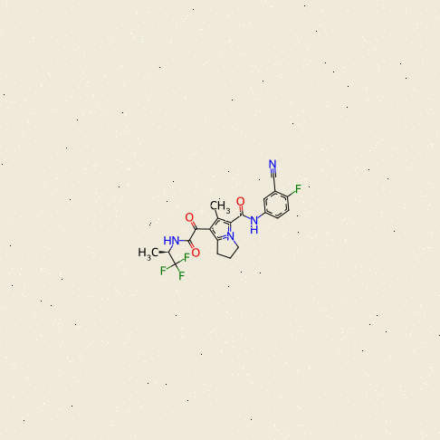 Cc1c(C(=O)C(=O)N[C@H](C)C(F)(F)F)c2n(c1C(=O)Nc1ccc(F)c(C#N)c1)CCC2